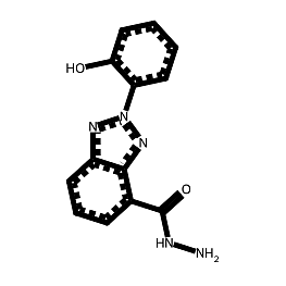 NNC(=O)c1cccc2nn(-c3ccccc3O)nc12